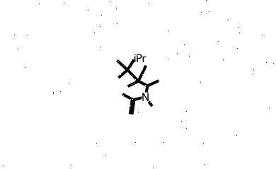 C=C(C)N(C)C(C)C(C)(C)C(C)(C)C(C)C